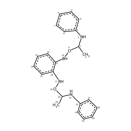 CC(Nc1ccccc1)OBc1ccccc1BOC(C)Nc1ccccc1